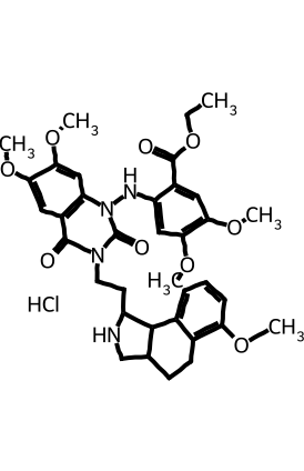 CCOC(=O)c1cc(OC)c(OC)cc1Nn1c(=O)n(CCC2NCC3CCc4c(OC)cccc4C32)c(=O)c2cc(OC)c(OC)cc21.Cl